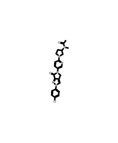 CC(=O)N(C)C1CCN(c2ccc(N3Cc4cn(-c5ccc(Cl)cc5)nc4C3=O)cn2)C1